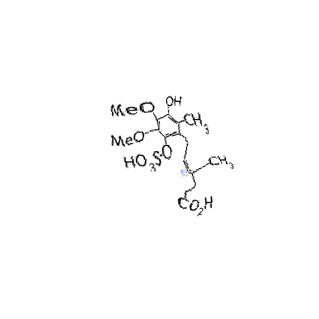 COc1c(O)c(C)c(C/C=C(\C)CCC(=O)O)c(OS(=O)(=O)O)c1OC